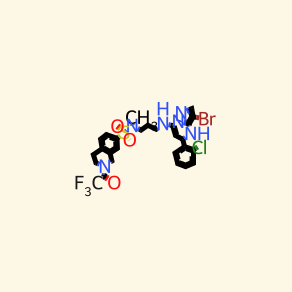 CN(CCCNC1=CC(c2ccccc2Cl)Nc2c(Br)cnn21)S(=O)(=O)c1ccc2c(c1)CN(C(=O)C(F)(F)F)CC2